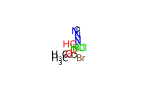 CC1(C)Cc2cc(Br)cc(OCC(O)CN3CCN(c4ccccn4)CC3)c2O1.Cl.Cl